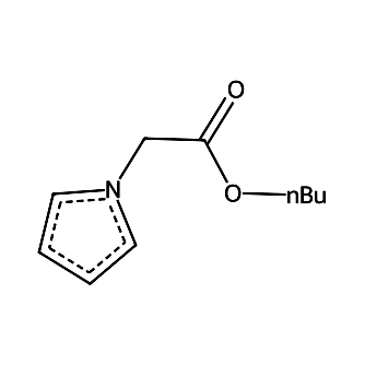 CCCCOC(=O)Cn1cccc1